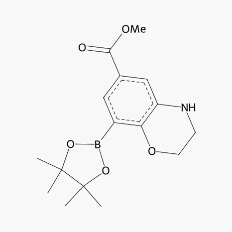 COC(=O)c1cc2c(c(B3OC(C)(C)C(C)(C)O3)c1)OCCN2